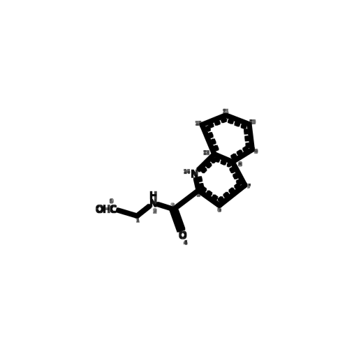 O=CCNC(=O)c1ccc2ccccc2n1